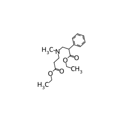 CCOC(=O)CCN(C)CC(C(=O)OCC)c1ccccc1